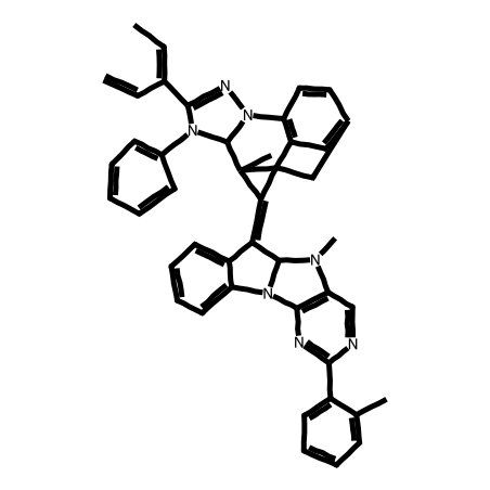 C=C/C(=C\C)C1=NN2c3ccc4cc3C3(C4)/C(=C4/c5ccccc5N5c6nc(-c7ccccc7C)ncc6N(C)C45)C3(C)C2N1c1ccccc1